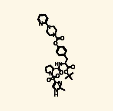 Cc1nc(S(=O)(=O)N2CCC[C@H]2C(=O)N[C@@H](Cc2ccc(OC(=O)N3CCN(c4ccccn4)CC3)cc2)C(=O)OC(C)(C)C)c[nH]1